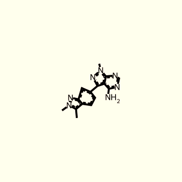 Cc1c2ccc(-c3nn(C)c4ncnc(N)c34)cc2nn1C